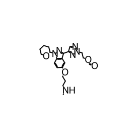 CNCCCOc1ccc2c(c1)c(-c1cnn(CCOC=O)n1)nn2C1CCCCO1